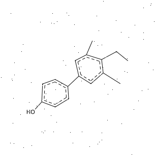 CCc1c(C)cc(-c2ccc(O)cc2)cc1C